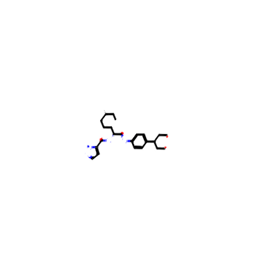 Cn1nccc1C(=O)N[C@H](C(=O)Nc1ccc(C2CCOCC2)cc1)[C@H]1CC[C@H](C)CC1